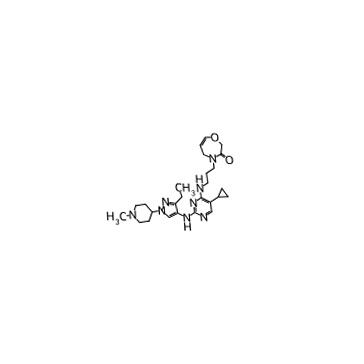 CCc1nn(C2CCN(C)CC2)cc1Nc1ncc(C2CC2)c(NCCCN2CC=COCC2=O)n1